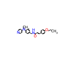 CCCOc1ccc(C=CC(=O)NCc2ccc(N(C)c3ccncc3)cc2)cc1